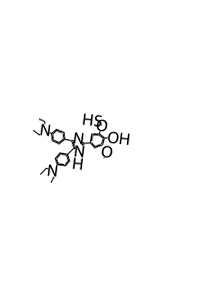 CCN(CC)c1ccc(-c2nc(-c3cc(OC)c(O)c(OS)c3)[nH]c2-c2ccc(N(CC)CC)cc2)cc1